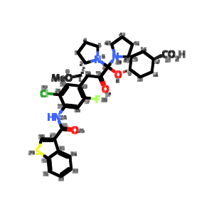 COC[C@@H]1CCCN1C(O[C@H]1CC[C@H](C(=O)O)CC1)(C(=O)Cc1cc(Cl)c(NC(=O)c2csc3ccccc23)cc1F)N1CCCC1